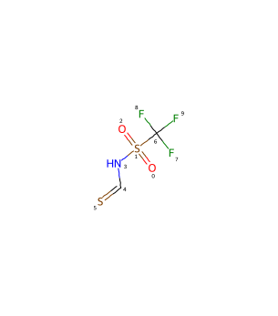 O=S(=O)(NC=S)C(F)(F)F